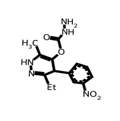 CCC1=NNC(C)=C(OC(=O)NN)C1c1cccc([N+](=O)[O-])c1